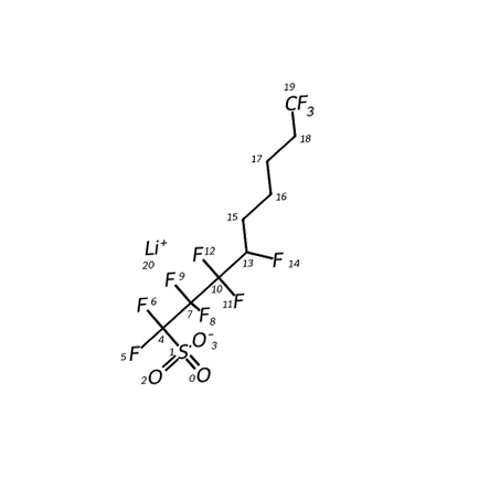 O=S(=O)([O-])C(F)(F)C(F)(F)C(F)(F)C(F)CCCCC(F)(F)F.[Li+]